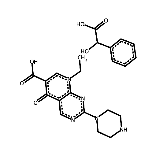 CCn1cc(C(=O)O)c(=O)c2cnc(N3CCNCC3)nc21.O=C(O)C(O)c1ccccc1